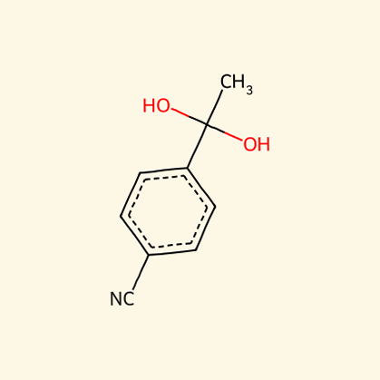 CC(O)(O)c1ccc(C#N)cc1